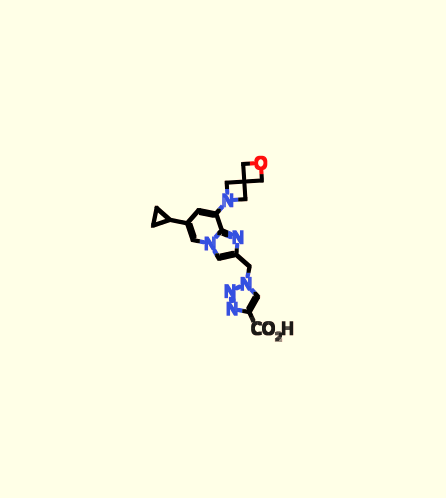 O=C(O)c1cn(Cc2cn3cc(C4CC4)cc(N4CC5(COC5)C4)c3n2)nn1